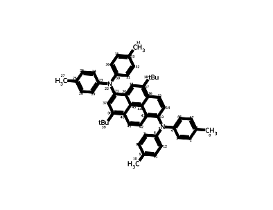 Cc1ccc(N(c2ccc(C)cc2)c2ccc3c(C(C)(C)C)cc4c(N(c5ccc(C)cc5)c5ccc(C)cc5)cc(C(C)(C)C)c5ccc2c3c45)cc1